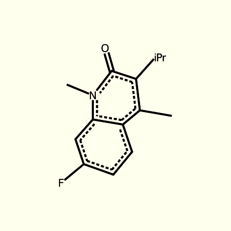 Cc1c(C(C)C)c(=O)n(C)c2cc(F)ccc12